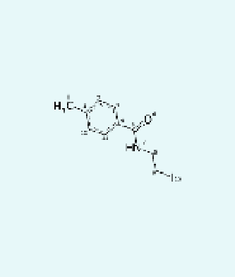 Cc1ccc(C(=O)NCCI)cc1